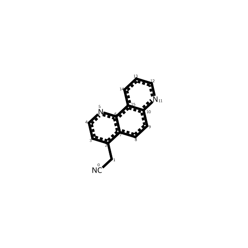 N#CCc1ccnc2c1ccc1ncccc12